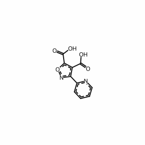 O=C(O)c1onc(-c2ccccn2)c1C(=O)O